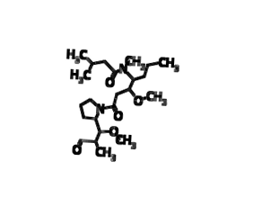 CCCC(C(CC(=O)N1CCCC1C(OC)C(C)C=O)OC)N(C)C(=O)CC(C)C